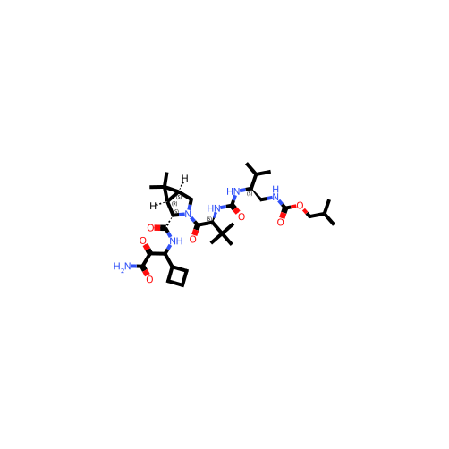 CC(C)COC(=O)NC[C@@H](NC(=O)N[C@H](C(=O)N1C[C@H]2[C@@H]([C@H]1C(=O)NC(C(=O)C(N)=O)C1CCC1)C2(C)C)C(C)(C)C)C(C)C